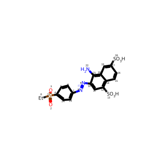 CCS(=O)(=O)c1ccc(/N=N/c2cc(S(=O)(=O)O)c3ccc(S(=O)(=O)O)cc3c2N)cc1